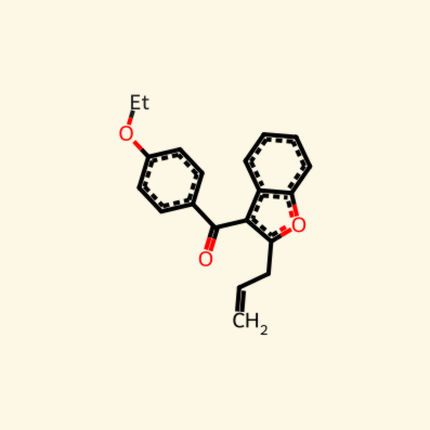 C=CCc1oc2ccccc2c1C(=O)c1ccc(OCC)cc1